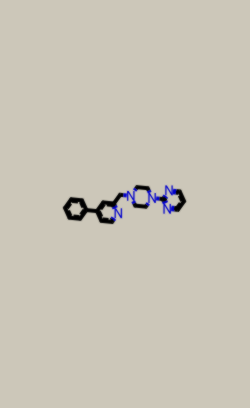 c1ccc(-c2ccnc(CN3CCN(c4ncccn4)CC3)c2)cc1